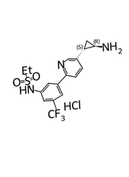 CCS(=O)(=O)Nc1cc(-c2ccc([C@@H]3C[C@H]3N)cn2)cc(C(F)(F)F)c1.Cl